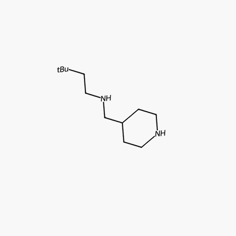 CC(C)(C)CCNCC1CCNCC1